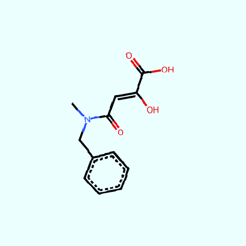 CN(Cc1ccccc1)C(=O)/C=C(\O)C(=O)O